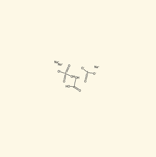 O=C(O)O.O=S(=O)([O-])O.O=S([O-])[O-].[Na+].[Na+].[Na+]